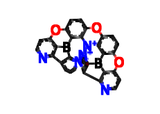 c1cc2c3[n+](c1)[N+]14c5c(ccc6c5B3c3c(ccnc3-2)O6)Oc2ccc3c(c21)B1c2c(ccnc2-c2ccc[n+]4c21)O3